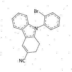 N#CC1=Cc2c(n(-c3ccccc3Br)c3ccccc23)CC1